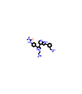 CNCc1cccc(-c2cc3c(-c4cn(CCN(C)C)nc4-c4ccc(NC(=O)N(C)C)cc4)ccnc3[nH]2)c1